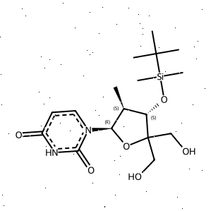 C[C@@H]1[C@H](n2ccc(=O)[nH]c2=O)OC(CO)(CO)[C@H]1O[Si](C)(C)C(C)(C)C